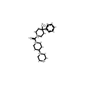 O=C(N1CCC(N2CCSCC2)CC1)N1CCC(C(=O)O)(c2ccccc2)CC1